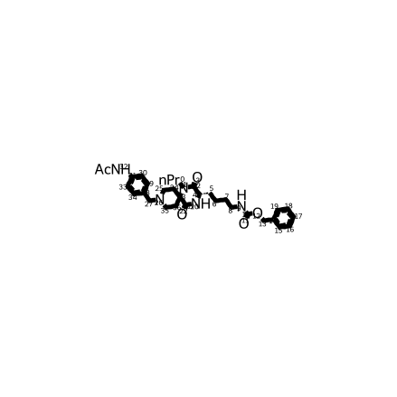 CCCN1C(=O)[C@H](CCCCNC(=O)OCc2ccccc2)NC(=O)C12CCN(Cc1ccc(NC(C)=O)cc1)CC2